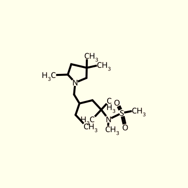 CCC(CN1CC(C)(C)CC1C)CC(C)(C)N(C)S(C)(=O)=O